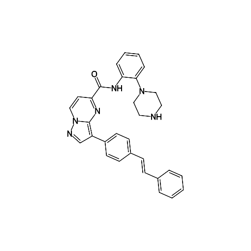 O=C(Nc1ccccc1N1CCNCC1)c1ccn2ncc(-c3ccc(/C=C/c4ccccc4)cc3)c2n1